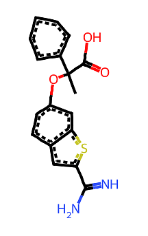 CC(Oc1ccc2cc(C(=N)N)sc2c1)(C(=O)O)c1ccccc1